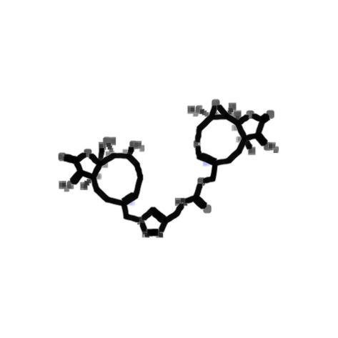 C=C1C(=O)O[C@@H]2[C@H](O)[C@@H](C)CC/C=C(/Cn3cc(CNC(=O)OC/C4=C/CC[C@@]5(C)O[C@H]5[C@H]5OC(=O)C(=C)[C@@H]5CC4)nn3)CC[C@@H]12